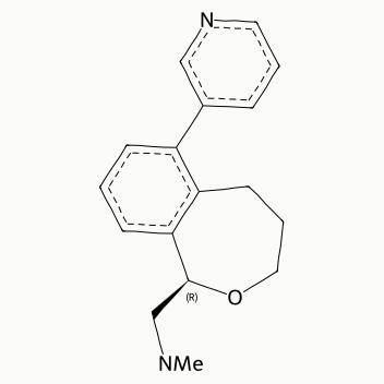 CNC[C@@H]1OCCCc2c(-c3cccnc3)cccc21